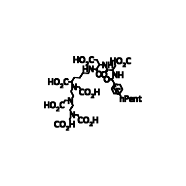 CCCCCC12CCC(C(=O)NC(CC(=O)O)C(=O)NC(CC(=O)O)C(=O)NCCCCC(C(=O)O)N(CCN(CCN(CC(=O)O)CC(=O)O)CC(=O)O)CC(=O)O)(CC1)CC2